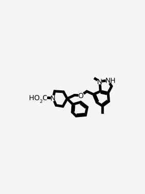 Cc1cc2c(c(COCC3(c4ccccc4)CCN(C(=O)O)CC3)c1)N(C)NC2